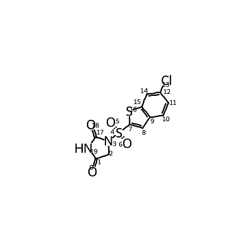 O=C1CN(S(=O)(=O)c2cc3ccc(Cl)cc3s2)C(=O)N1